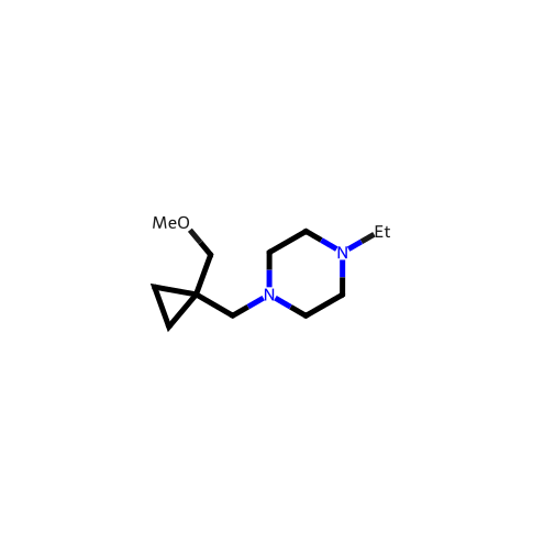 CCN1CCN(CC2(COC)CC2)CC1